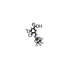 COc1cc(C(=O)O)cc(/C=C/B2OC(C)(C)C(C)(C)O2)c1Cl